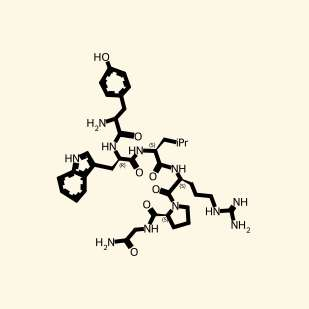 CC(C)C[C@H](NC(=O)[C@@H](Cc1c[nH]c2ccccc12)NC(=O)C(N)Cc1ccc(O)cc1)C(=O)N[C@@H](CCCNC(=N)N)C(=O)N1CCC[C@H]1C(=O)NCC(N)=O